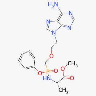 COC(=O)[C@H](C)NP(=O)(COCCn1cnc2c(N)ncnc21)Oc1ccccc1